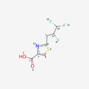 O=C(O)c1csc(CC(F)C(F)F)n1